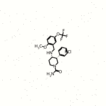 COc1ccc(OC(F)(F)F)cc1CN[C@H]1CCN(C(N)=O)C[C@H]1c1ccccc1.Cl